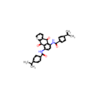 C=C(C)c1ccc(C(=O)Nc2ccc(NC(=O)c3ccc(C(=C)C)cc3)c3c2C(=O)c2ccccc2C3=O)cc1